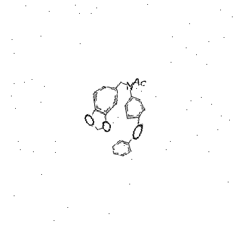 CC(=O)N(Cc1ccc2c(c1)OCO2)c1ccc(Oc2ccccc2)cc1